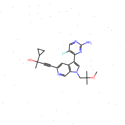 COC(C)(C)Cn1cc(-c2nc(N)ncc2F)c2cc(C#CC(C)(O)C3CC3)ncc21